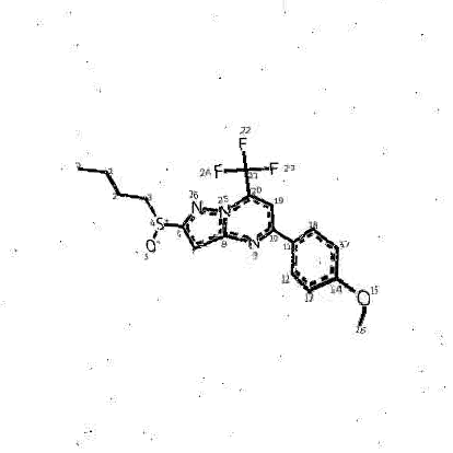 CCCC[S+]([O-])c1cc2nc(-c3ccc(OC)cc3)cc(C(F)(F)F)n2n1